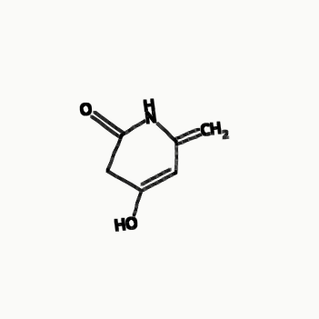 C=C1C=C(O)CC(=O)N1